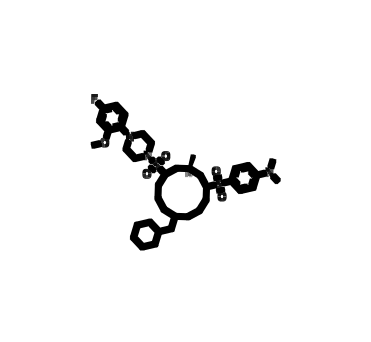 COc1cc(F)ccc1N1CCN(S(=O)(=O)C2CCCC(CC3CCCCC3)CCCC(S(=O)(=O)c3ccc(N(C)C)cc3)C[C@H](C)C2)CC1